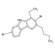 CCCCc1cc2c([nH]c3cc(Br)ccc32)c(CC)c1Br